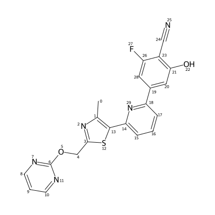 Cc1nc(COc2ncccn2)sc1-c1cccc(-c2cc(O)c(C#N)c(F)c2)n1